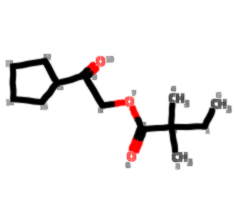 CCC(C)(C)C(=O)OCC(=O)C1CCCC1